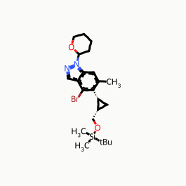 Cc1cc2c(cnn2C2CCCCO2)c(Br)c1[C@@H]1C[C@@H]1CO[Si](C)(C)C(C)(C)C